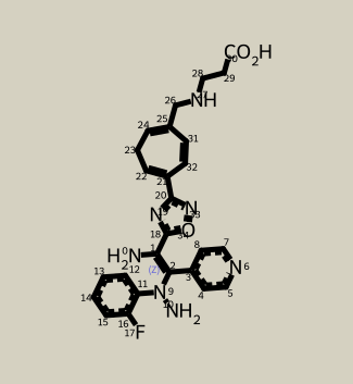 N/C(=C(/c1ccncc1)N(N)c1ccccc1F)c1nc(C2=CCC=C(CNCCC(=O)O)C=C2)no1